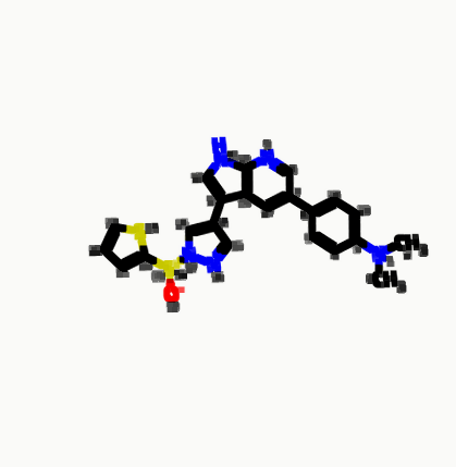 CN(C)c1ccc(-c2cnc3[nH]cc(-c4cnn([S@@+]([O-])c5cccs5)c4)c3c2)cc1